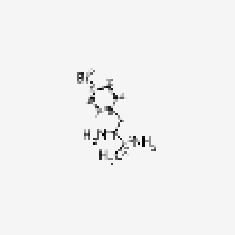 C=C(N)C(N)Cc1ccc(Br)cc1